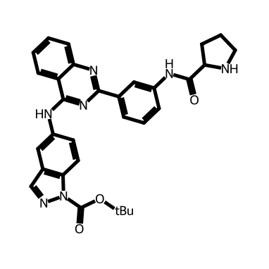 CC(C)(C)OC(=O)n1ncc2cc(Nc3nc(-c4cccc(NC(=O)C5CCCN5)c4)nc4ccccc34)ccc21